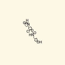 O=C(COc1ccc(C2=NNC(=O)CC2)cc1Cl)NCCc1ccc(O)cc1